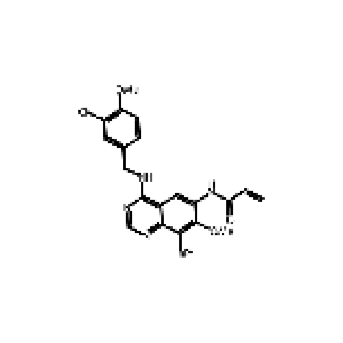 C=CC(=O)Nc1cc2c(NCc3ccc(OC)c(Cl)c3)ncnc2c(CCC)c1OC